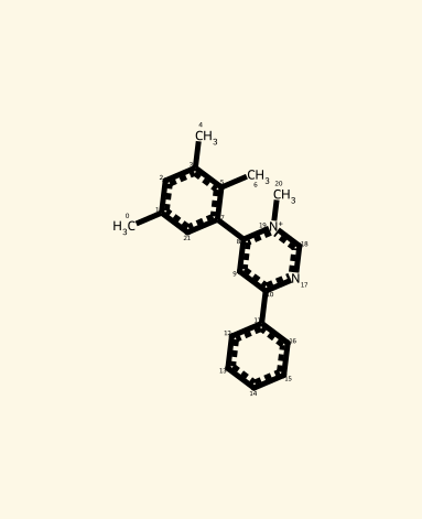 Cc1cc(C)c(C)c(-c2cc(-c3ccccc3)nc[n+]2C)c1